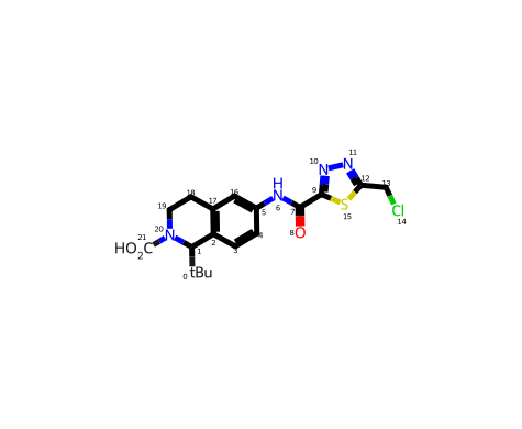 CC(C)(C)C1c2ccc(NC(=O)c3nnc(CCl)s3)cc2CCN1C(=O)O